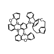 c1ccc2c(c1)Oc1cccc3c1N2c1cc(-n2c4ccccc4c4c5ccc(c42)CCc2ccc(cc2)CC5)cc2c1B3c1cccc3c1N2c1ccccc1O3